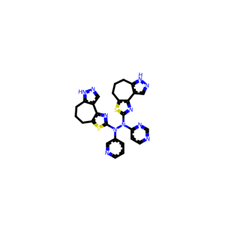 c1cncc(N(c2nc3c(s2)CCCc2[nH]ncc2-3)N(c2ccncn2)c2nc3c(s2)CCCc2[nH]ncc2-3)c1